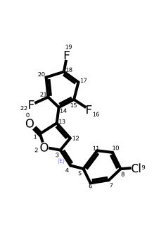 O=C1O/C(=C/c2ccc(Cl)cc2)C=C1c1c(F)cc(F)cc1F